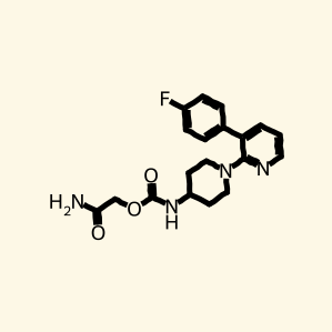 NC(=O)COC(=O)NC1CCN(c2ncccc2-c2ccc(F)cc2)CC1